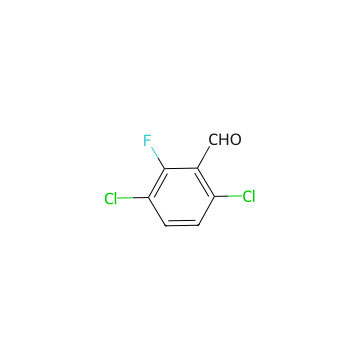 O=Cc1c(Cl)ccc(Cl)c1F